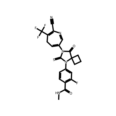 CNC(=O)c1ccc(N2C(=S)N(C3=CCC(C(F)(F)F)=C(C#N)N=C3)C(=O)C23CCC3)cc1F